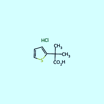 CC(C)(C(=O)O)c1cccs1.Cl